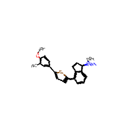 CCCNC1CCc2c(-c3ccc(-c4ccc(OC(C)C)c(C#N)c4)s3)cccc21